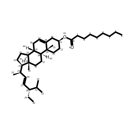 CCCCCCCCC(=O)O[C@H]1CC[C@@]2(C)C(=CC[C@H]3[C@@H]4CC[C@H]([C@H](C)/C=C/[C@@H](CC)C(C)C)[C@@]4(C)CC[C@@H]32)C1